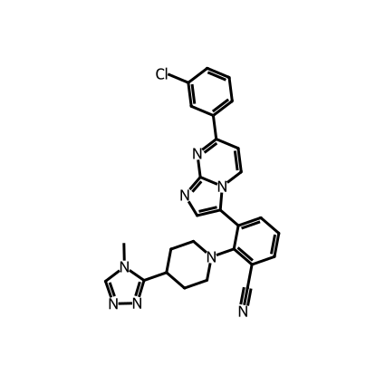 Cn1cnnc1C1CCN(c2c(C#N)cccc2-c2cnc3nc(-c4cccc(Cl)c4)ccn23)CC1